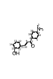 CN(C)c1ccc(C(=O)C=Cc2cccc(O)c2)cc1